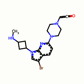 CNC1CC(n2cc(Br)c3ccc(N4CCN(C=C=O)CC4)nc32)C1